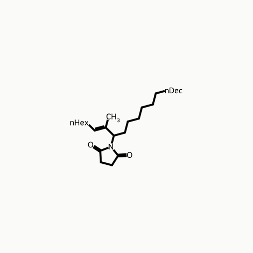 CCCCCCC=C(C)C(CCCCCCCCCCCCCCCC)N1C(=O)CCC1=O